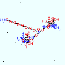 CC(=O)N[C@H]1[C@H]([C@H](OCC(=O)NCCOCCN(CCOCCNC(=O)CO[C@@H]([C@@H]2OC(C(=O)O)=C[C@H](NC(=N)N)[C@H]2NC(C)=O)[C@H](O)CO)C(=O)CCOCCOCCOCCOCCOCCOCCOCCON)[C@H](O)CO)OC(C(=O)O)=C[C@@H]1NC(=N)N